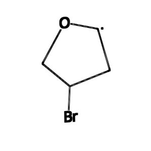 BrC1C[CH]OC1